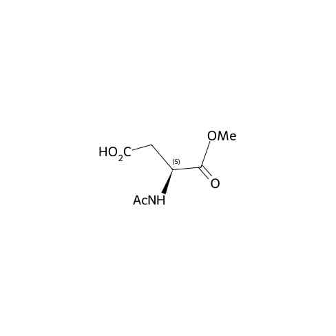 COC(=O)[C@H](CC(=O)O)NC(C)=O